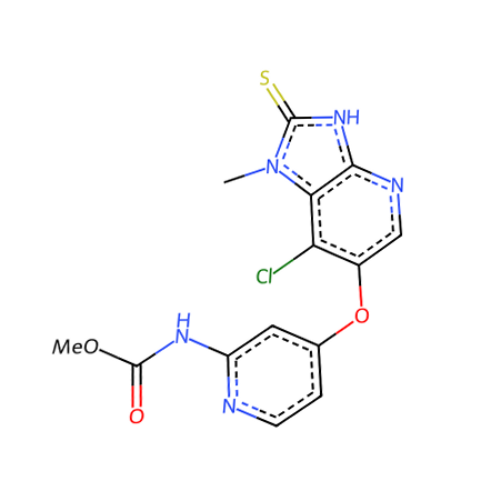 COC(=O)Nc1cc(Oc2cnc3[nH]c(=S)n(C)c3c2Cl)ccn1